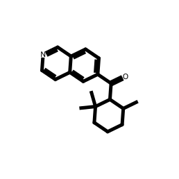 CC1CCCC(C)(C)C1C(=O)c1ccc2cnccc2c1